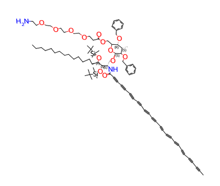 CC#CC#CC#CC#CC#CC#CC#CC#CC#CC#CC#CC#CC(=O)N[C@@H](CO[C@H]1OC(COC(=O)CCOCCOCCOCCOCCN)[C@H](OCc2ccccc2)[C@H](C)C1OCc1ccccc1)[C@H](O[Si](C)(C)C(C)(C)C)[C@@H](CCCCCCCCCCCCCC)O[Si](C)(C)C(C)(C)C